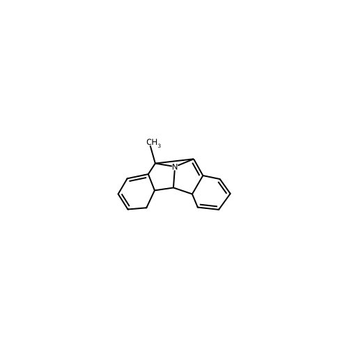 CC12C3=CC=CCC3C3C4C=CC=CC4=C1N32